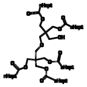 CCCCCCCC(=O)OCC(CO)(COCC(COC(=O)CCCCCCC)(COC(=O)CCCCCCC)COC(=O)CCCCCCC)COC(=O)CCCCCCC